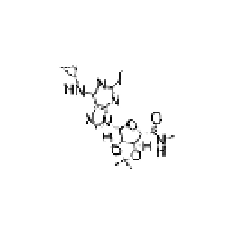 CNC(=O)[C@H]1O[C@@H](n2cnc3c(NC4CC4)nc(I)nc32)[C@@H]2OC(C)(C)O[C@@H]21